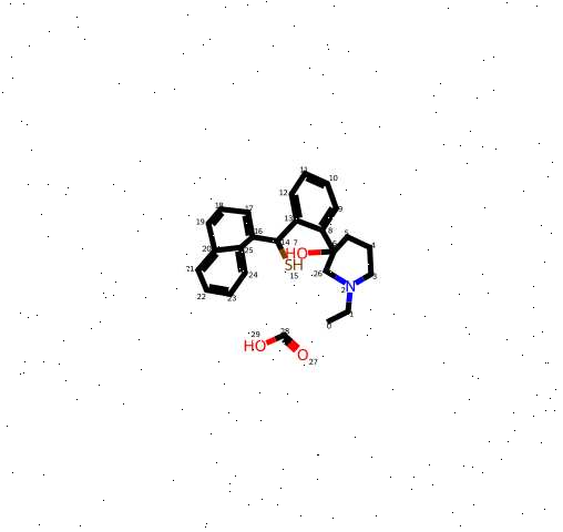 CCN1CCCC(O)(c2ccccc2C(S)c2cccc3ccccc23)C1.O=CO